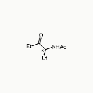 CCC(=O)[C@H](CC)NC(C)=O